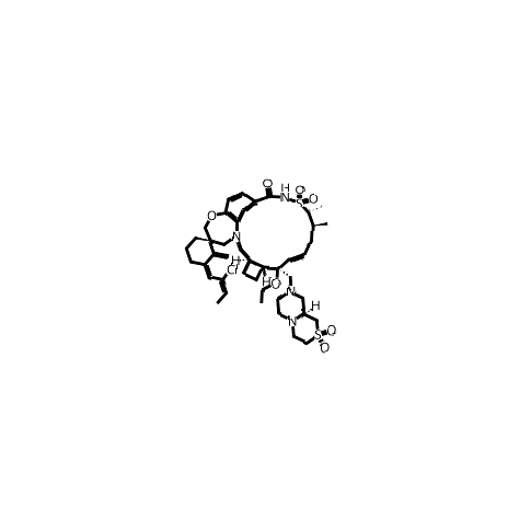 C=C1/C(=C\C(Cl)=C/C)CCC[C@]12COc1ccc3cc1N(C[C@@H]1CC[C@H]1[C@](CN1CCN4CCS(=O)(=O)C[C@@H]4C1)(OCC)/C=C/C[C@H](C)[C@@H](C)S(=O)(=O)NC3=O)C2